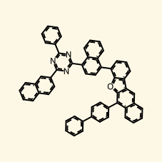 c1ccc(-c2ccc(-c3c4ccccc4cc4c3oc3c(-c5ccc(-c6nc(-c7ccccc7)nc(-c7ccc8ccccc8c7)n6)c6ccccc56)cccc34)cc2)cc1